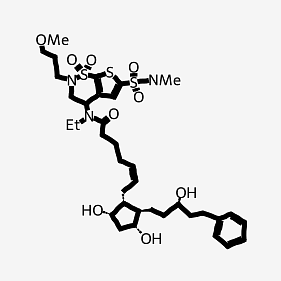 CCN(C(=O)CCC/C=C\C[C@@H]1[C@@H](CC[C@H](O)CCc2ccccc2)[C@H](O)C[C@@H]1O)C1CN(CCCOC)S(=O)(=O)c2sc(S(=O)(=O)NC)cc21